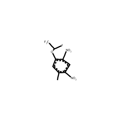 Cc1cc(OC(F)C(F)(F)F)c([N+](=O)[O-])cc1[N+](=O)[O-]